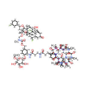 CCN(COCC(=O)[C@@]12OC(c3cccc(F)c3)C[C@@H]1C[C@H]1[C@@H]3C[C@H](F)C4=CC(=O)C=C[C@]4(C)[C@@]3(F)[C@@H](O)C[C@@]12C)C(=O)OCc1ccc(O[C@@H]2O[C@H](OC=O)[C@@H](O)[C@H](O)[C@H]2O)c(NC(=O)CCNC(=O)CCc2ccc(N3C(=O)C=CC3=O)cc2C(=O)N(C)CC(=O)N(C)CC(=O)N(C)CC(=O)N(C)N(C)CC(=O)N(C)CC(=O)N(C)CC(=O)N(C)CC(=O)N(C)CC(=O)N(C)CC(=O)O)c1